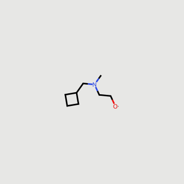 CN(CC[O])CC1CCC1